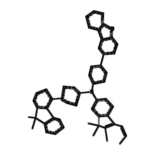 C/C=C\C1=C(C)C(C)(C)c2cc(N(c3ccc(-c4ccc5oc6ccccc6c5c4)cc3)c3ccc(-c4cccc5c4-c4ccccc4C5(C)C)cc3)ccc21